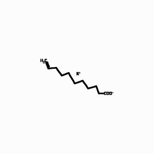 C=CCCCCCCCCC(=O)[O-].[K+]